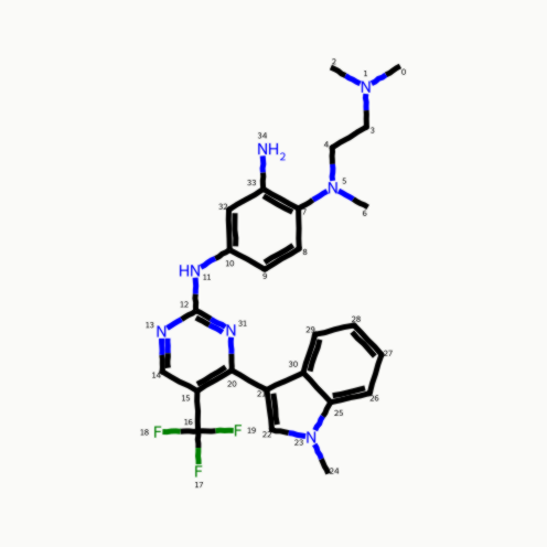 CN(C)CCN(C)c1ccc(Nc2ncc(C(F)(F)F)c(-c3cn(C)c4ccccc34)n2)cc1N